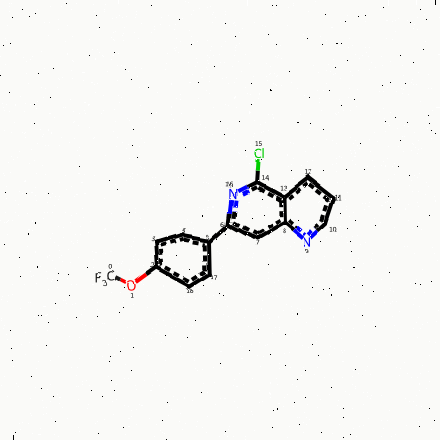 FC(F)(F)Oc1ccc(-c2cc3ncccc3c(Cl)n2)cc1